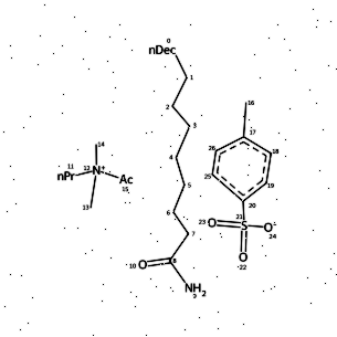 CCCCCCCCCCCCCCCCCC(N)=O.CCC[N+](C)(C)C(C)=O.Cc1ccc(S(=O)(=O)[O-])cc1